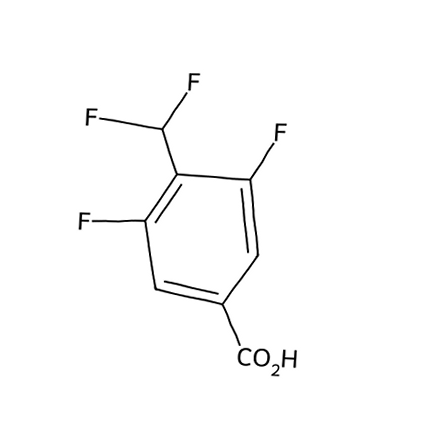 O=C(O)c1cc(F)c(C(F)F)c(F)c1